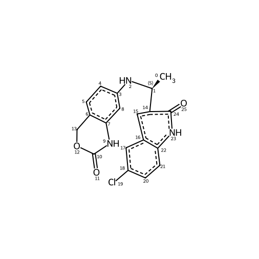 C[C@H](Nc1ccc2c(c1)NC(=O)OC2)c1cc2cc(Cl)ccc2[nH]c1=O